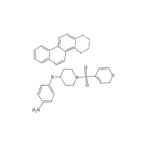 O=[N+]([O-])c1ccc(OC2CCN(S(=O)(=O)C3=CCOC=C3)CC2)cc1.c1ccc2c(c1)ccc1c3c(ccc12)CCCC3